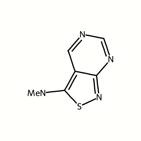 CNc1snc2ncncc12